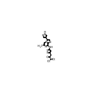 CCN(CC)C(=O)Cc1cc(Nc2nc(C)cn3c(-c4cn[nH]c4)cnc23)sn1